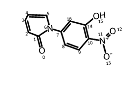 O=c1ccccn1-c1ccc([N+](=O)[O-])c(O)c1